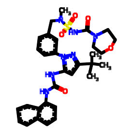 CN(Cc1cccc(-n2nc(C(C)(C)C)cc2NC(=O)Nc2cccc3ccccc23)c1)S(=O)(=O)NC(=O)N1CCOCC1